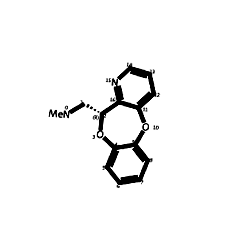 CNC[C@H]1Oc2ccccc2Oc2cccnc21